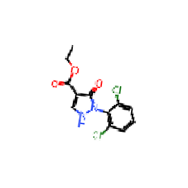 CCOC(=O)c1c[nH]n(-c2c(Cl)cccc2Cl)c1=O